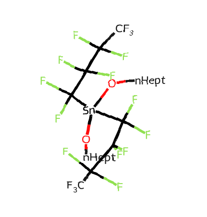 CCCCCCC[O][Sn]([O]CCCCCCC)([C](F)(F)C(F)(F)C(F)(F)C(F)(F)F)[C](F)(F)C(F)(F)C(F)(F)C(F)(F)F